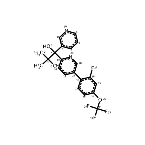 CC(C)(C)C(O)(c1cccnc1)c1ccc(-c2ccc(OC(F)(F)F)cc2F)cn1